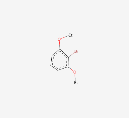 CCOc1cccc(OCC)c1Br